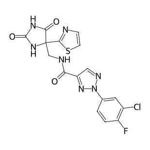 O=C1NC(=O)C(CNC(=O)c2cnn(-c3ccc(F)c(Cl)c3)n2)(c2nccs2)N1